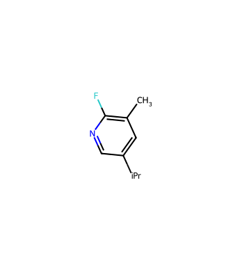 Cc1cc(C(C)C)cnc1F